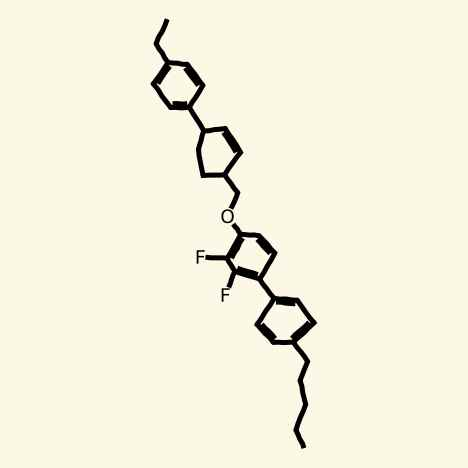 CCCCCc1ccc(-c2ccc(OCC3C=CC(c4ccc(CC)cc4)CC3)c(F)c2F)cc1